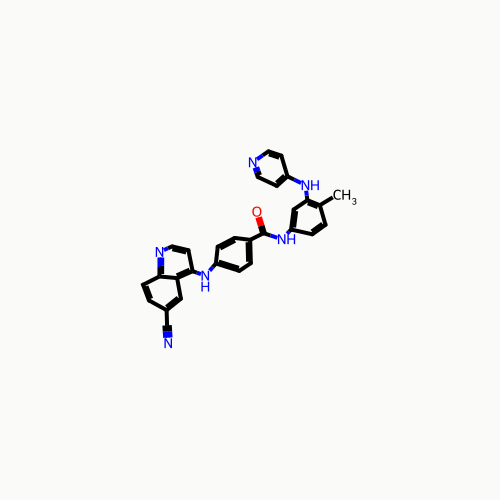 Cc1ccc(NC(=O)c2ccc(Nc3ccnc4ccc(C#N)cc34)cc2)cc1Nc1ccncc1